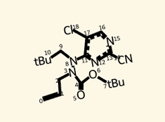 C=CCN(C(=O)OC(C)(C)C)N(CC(C)(C)C)c1nc(C#N)ncc1Cl